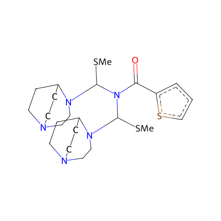 CSC(N1CCN2CCC1CC2)N(C(=O)c1cccs1)C(SC)N1CCN2CCC1CC2